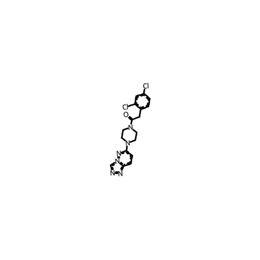 O=C(Cc1ccc(Cl)cc1Cl)N1CCN(c2ccc3nncn3n2)CC1